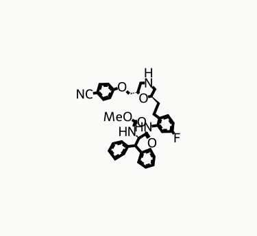 COC(=O)N[C@H](C(=O)Nc1cc(F)ccc1CC[C@@H]1CNC[C@@H](COc2ccc(C#N)cc2)O1)C(c1ccccc1)c1ccccc1